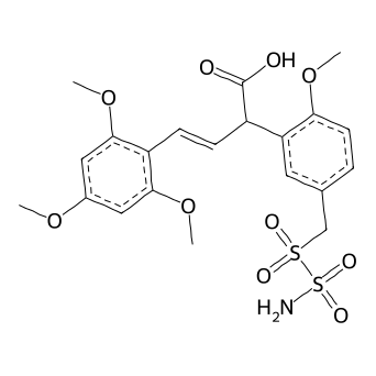 COc1cc(OC)c(C=CC(C(=O)O)c2cc(CS(=O)(=O)S(N)(=O)=O)ccc2OC)c(OC)c1